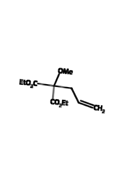 C=CCC(OC)(C(=O)OCC)C(=O)OCC